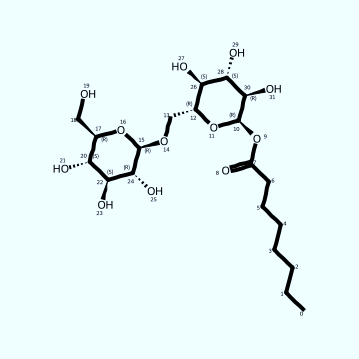 CCCCCCCC(=O)O[C@H]1O[C@H](CO[C@@H]2O[C@H](CO)[C@@H](O)[C@H](O)[C@H]2O)[C@@H](O)[C@H](O)[C@H]1O